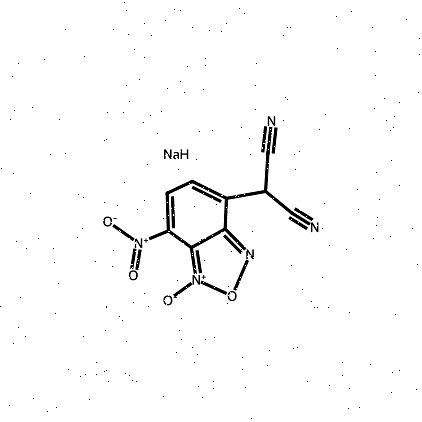 N#CC(C#N)c1ccc([N+](=O)[O-])c2c1no[n+]2[O-].[NaH]